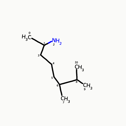 CC(N)CCCC(C)C(C)C